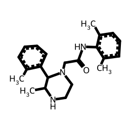 Cc1ccccc1C1C(C)NCCN1CC(=O)Nc1c(C)cccc1C